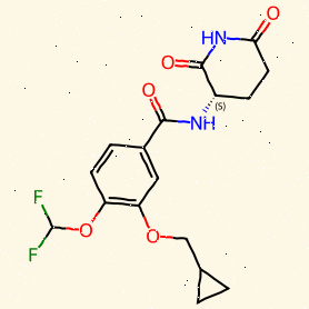 O=C1CC[C@H](NC(=O)c2ccc(OC(F)F)c(OCC3CC3)c2)C(=O)N1